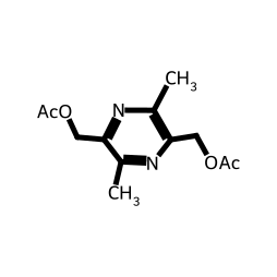 CC(=O)OCc1nc(C)c(COC(C)=O)nc1C